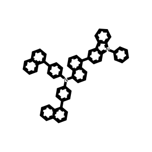 c1ccc(-n2c3ccccc3c3cc(-c4cccc5c(N(c6ccc(-c7cccc8ccccc78)cc6)c6ccc(-c7cccc8ccccc78)cc6)cccc45)ccc32)cc1